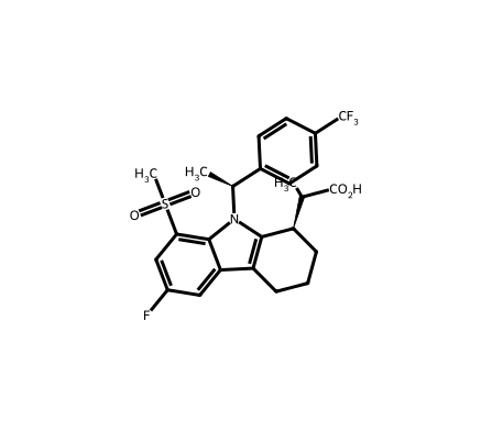 CC(C(=O)O)[C@H]1CCCc2c1n([C@@H](C)c1ccc(C(F)(F)F)cc1)c1c(S(C)(=O)=O)cc(F)cc21